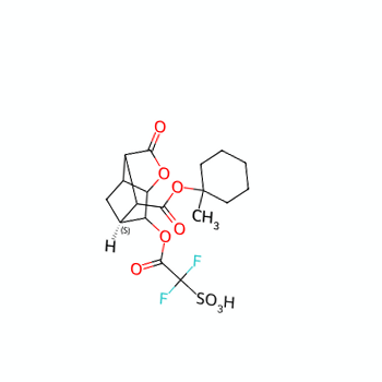 CC1(OC(=O)C2C3C(=O)OC4C3C[C@@H]2C4OC(=O)C(F)(F)S(=O)(=O)O)CCCCC1